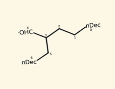 CCCCCCCCCCCCC([C]=O)CCCCCCCCCCC